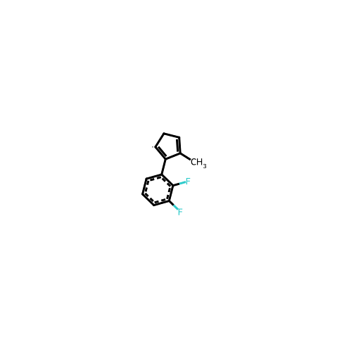 CC1=CC[C]=C1c1cccc(F)c1F